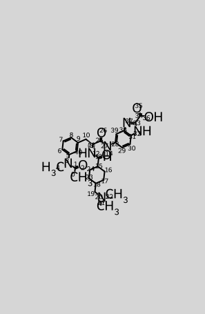 CC(=O)N(C)c1cccc(C[C@H](NC(=O)C2CCC(CN(C)C)CC2)C(=O)Nc2ccc3[nH]c(C(=O)O)nc3c2)c1